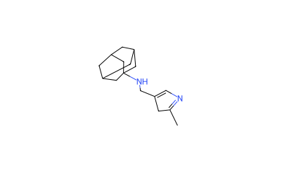 CC1=NC=C(CNC23CC4CC(CC(C4)C2)C3)C1